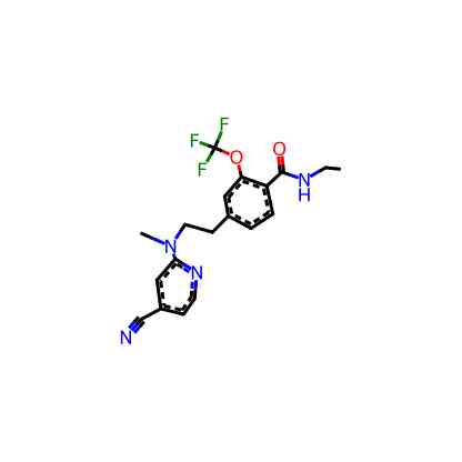 CCNC(=O)c1ccc(CCN(C)c2cc(C#N)ccn2)cc1OC(F)(F)F